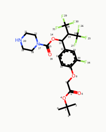 CC(C)(C)OC(=O)COc1ccc(C(OC(=O)N2CCNCC2)C(C(F)(F)F)C(F)(F)F)cc1F